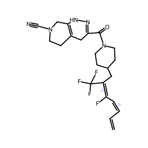 C=C/C=C\C(F)=C(/CC1CCN(C(=O)C2=NNC3=C(CCN(C#N)C3)C2)CC1)C(F)(F)F